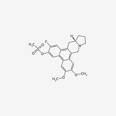 COc1cc2c3c(c4cc(F)c(OS(C)(=O)=O)cc4c2cc1OC)C[C@@H]1CCCN1C3